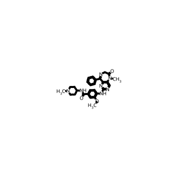 COc1cc(C(=O)NC2CCN(C)CC2)ccc1Nc1ncc2c(n1)C(c1ccccc1)=NCC(=O)N2C